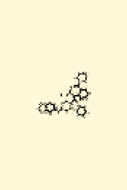 O=C(O)c1c(N2CCN(Cc3ccc4c(c3)OCO4)CC2)n(-c2ccccc2)c2cccc(C(=O)N3CCNCC3)c12